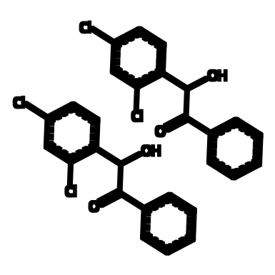 O=C(c1ccccc1)C(O)c1ccc(Cl)cc1Cl.O=C(c1ccccc1)C(O)c1ccc(Cl)cc1Cl